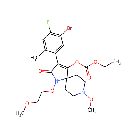 CCOC(=O)OC1=C(c2cc(Br)c(F)cc2C)C(=O)N(OCCOC)C12CCN(OC)CC2